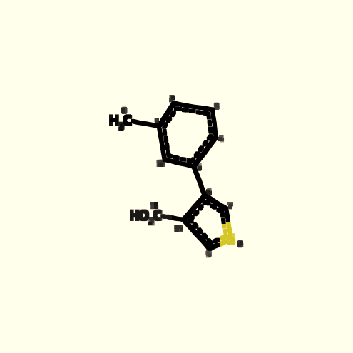 Cc1cccc(-c2cscc2C(=O)O)c1